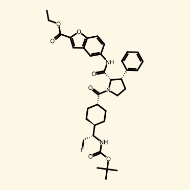 CCOC(=O)c1cc2cc(NC(=O)[C@@H]3[C@H](c4ccccc4)CCN3C(=O)[C@H]3CC[C@H]([C@@H](CF)NC(=O)OC(C)(C)C)CC3)ccc2o1